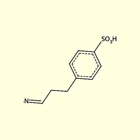 [N]=CCCc1ccc(S(=O)(=O)O)cc1